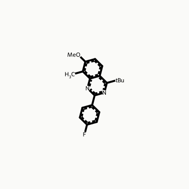 COc1ccc2c(C(C)(C)C)nc(-c3ccc(F)cc3)nc2c1C